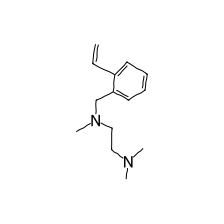 C=Cc1ccccc1CN(C)CCN(C)C